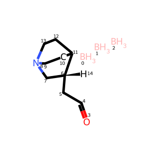 B.B.B.O=CC[C@@H]1CN2CCC1CC2